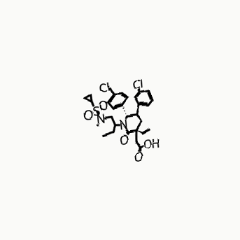 CCC(CN(C)S(=O)(=O)C1CC1)N1C(=O)[C@@](CC)(CC(=O)O)CC(c2cccc(Cl)c2)[C@H]1c1ccc(Cl)cc1